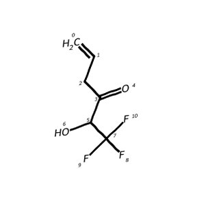 C=CCC(=O)C(O)C(F)(F)F